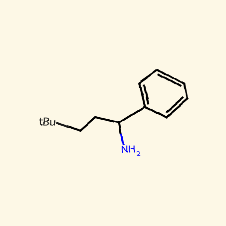 CC(C)(C)CCC(N)c1ccccc1